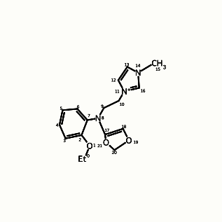 CCOc1ccccc1N(CC[n+]1ccn(C)c1)C1=COCO1